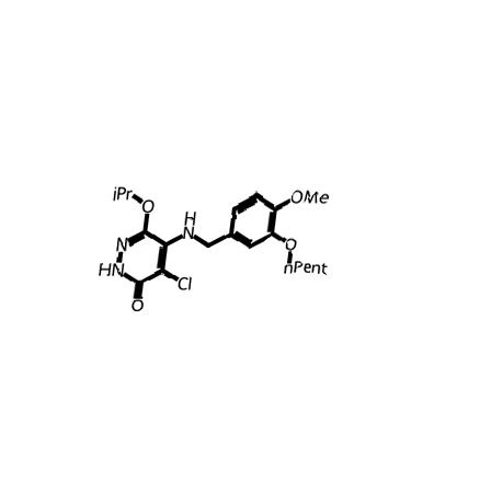 CCCCCOc1cc(CNc2c(OC(C)C)n[nH]c(=O)c2Cl)ccc1OC